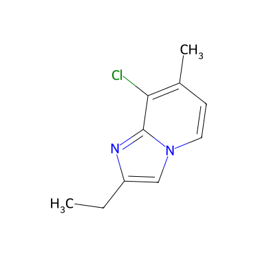 CCc1cn2ccc(C)c(Cl)c2n1